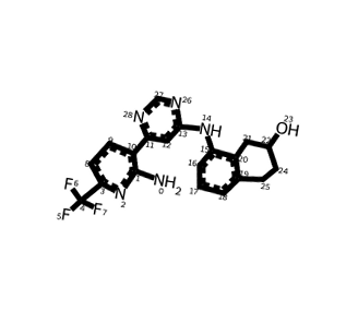 Nc1nc(C(F)(F)F)ccc1-c1cc(Nc2cccc3c2CC(O)CC3)ncn1